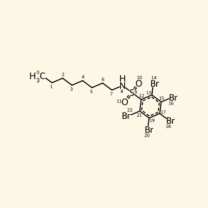 CCCCCCCCNS(=O)(=O)c1c(Br)c(Br)c(Br)c(Br)c1Br